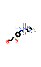 COCCC[S+]([O-])c1ccc(C(=N)C(=O)Nc2cnc(SC)cn2)cc1